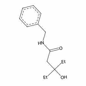 CCC(O)(CC)CC(=O)NCc1ccccc1